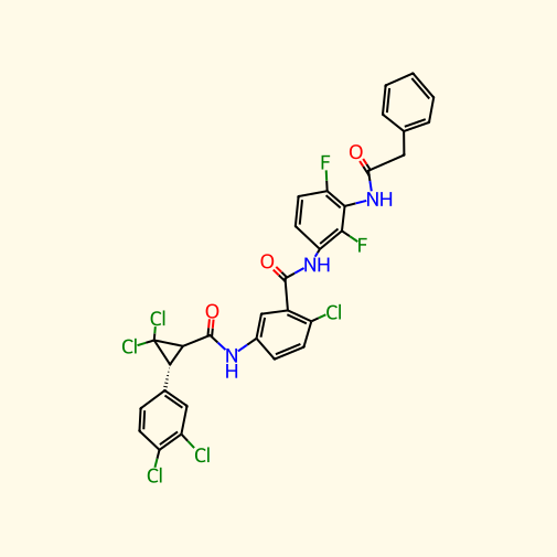 O=C(Cc1ccccc1)Nc1c(F)ccc(NC(=O)c2cc(NC(=O)C3[C@H](c4ccc(Cl)c(Cl)c4)C3(Cl)Cl)ccc2Cl)c1F